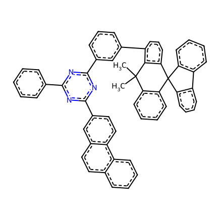 CC1(C)c2ccccc2C2(c3ccccc3-c3ccccc32)c2cccc(-c3cccc(-c4nc(-c5ccccc5)nc(-c5ccc6c(ccc7ccccc76)c5)n4)c3)c21